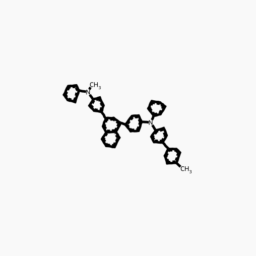 Cc1ccc(-c2ccc(N(c3ccccc3)c3ccc(-c4cc(-c5ccc(N(C)c6ccccc6)cc5)cc5ccccc45)cc3)cc2)cc1